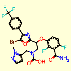 Cn1nccc1CN(CC(Oc1ccc(F)c(C(N)=O)c1F)c1nc(-c2ccc(C(F)(F)F)cc2)c(Br)o1)C(=O)O